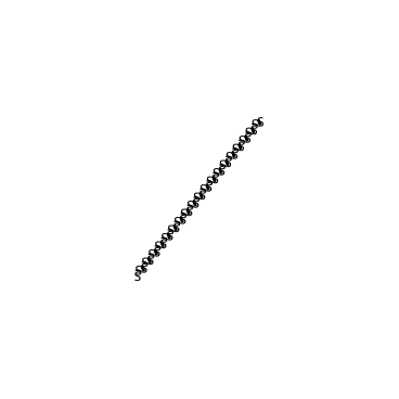 S=S=S=S=S=S=S=S=S=S=S=S=S=S=S=S=S=S=S=S=S=S=S=S=S=S=S=S=S=S=S=S=S=S=S=S=S=S=S